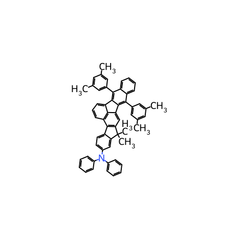 Cc1cc(C)cc(-c2c3c(c(-c4cc(C)cc(C)c4)c4ccccc24)-c2cc4c(c5cccc-3c25)-c2ccc(N(c3ccccc3)c3ccccc3)cc2C4(C)C)c1